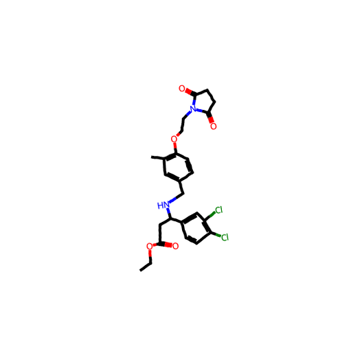 CCOC(=O)CC(NCc1ccc(OCCN2C(=O)CCC2=O)c(C)c1)c1ccc(Cl)c(Cl)c1